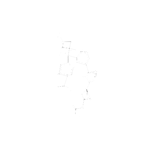 CC(=O)NC12CC(c3nc(-c4cncc([C@@](O)(c5ccc(C(C)C)cc5)C5(C)CN(C)C5)c4)no3)(C1)C2